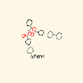 CCCCC[C@H]1CC[C@H](c2ccc(C(=O)OCC(OC(=O)c3ccc([C@H]4CC[C@H](C5CCCCC5)CC4)cc3)c3ccccc3)cc2)CC1